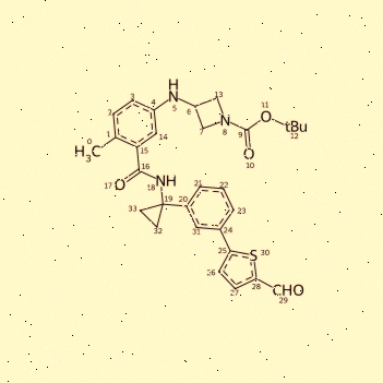 Cc1ccc(NC2CN(C(=O)OC(C)(C)C)C2)cc1C(=O)NC1(c2cccc(-c3ccc(C=O)s3)c2)CC1